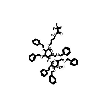 O=C(NCCCO[C@@H]1O[C@@H](COCc2ccccc2)[C@@H](O[C@@H]2OC(COCc3ccccc3)[C@H](O)[C@@H](OCc3ccccc3)C2OCc2ccccc2)C(OCc2ccccc2)C1OCc1ccccc1)C(F)(F)F